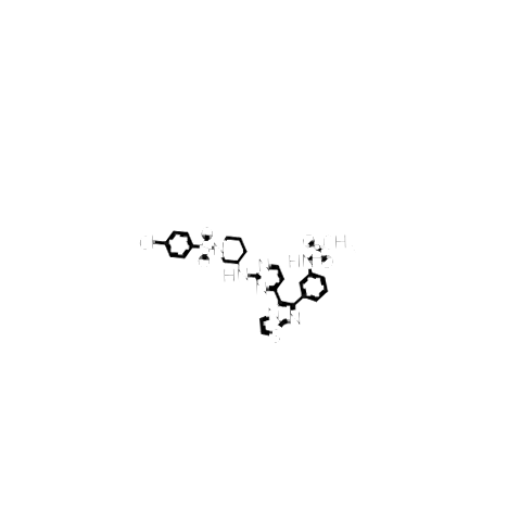 CS(=O)(=O)Nc1cccc(-c2nc3sccn3c2-c2ccnc(N[C@@H]3CCCN(S(=O)(=O)c4ccc(Cl)cc4)C3)n2)c1